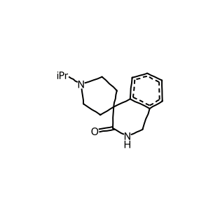 CC(C)N1CCC2(CC1)C(=O)NCc1ccccc12